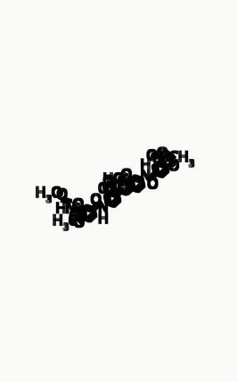 COCCNS(=O)(=O)c1cc(C(=O)Nc2ccc(/C=C/c3ccc(NC(=O)c4ccc(S(C)(=O)=O)c([N+](=O)[O-])c4)cc3S(=O)(=O)O)c(S(=O)(=O)O)c2)ccc1OC